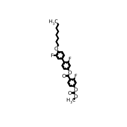 CCCCCCCCOc1ccc(-c2ccc(OC(=O)c3ccc(OC(=O)OC)cc3F)cc2F)cc1F